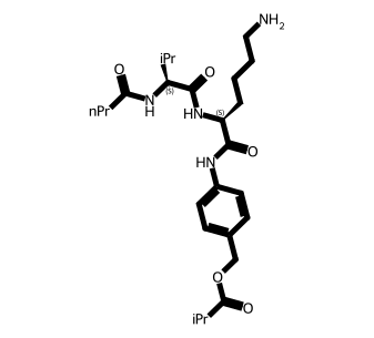 CCCC(=O)N[C@H](C(=O)N[C@@H](CCCCN)C(=O)Nc1ccc(COC(=O)C(C)C)cc1)C(C)C